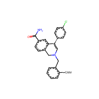 COc1ccccc1CN1C=C(c2ccc(Cl)cc2)c2cc(C(N)=O)ccc2C1